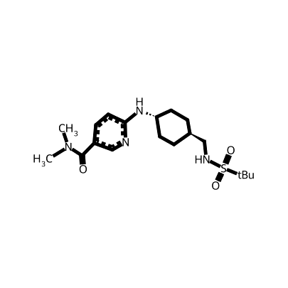 CN(C)C(=O)c1ccc(N[C@H]2CC[C@H](CNS(=O)(=O)C(C)(C)C)CC2)nc1